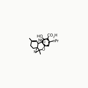 CCCc1cc2c(c(O)c1C(=O)O)[C@]1(N)C=C(C)CC[C@H]1C(C)(C)O2